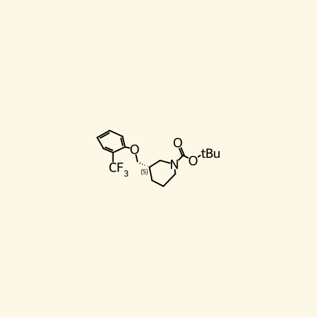 CC(C)(C)OC(=O)N1CCC[C@H](COc2ccccc2C(F)(F)F)C1